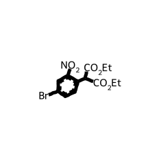 CCOC(=O)C(C(=O)OCC)c1ccc(Br)cc1[N+](=O)[O-]